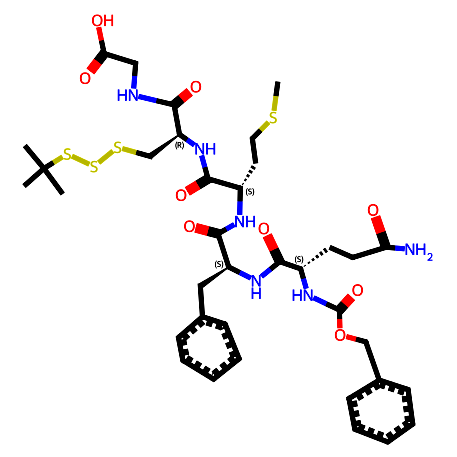 CSCC[C@H](NC(=O)[C@H](Cc1ccccc1)NC(=O)[C@H](CCC(N)=O)NC(=O)OCc1ccccc1)C(=O)N[C@@H](CSSSC(C)(C)C)C(=O)NCC(=O)O